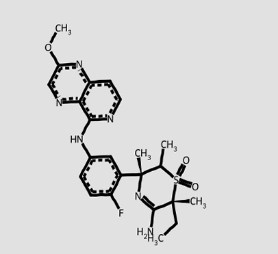 CC[C@]1(C)C(N)=N[C@](C)(c2cc(Nc3nccc4nc(OC)cnc34)ccc2F)C(C)S1(=O)=O